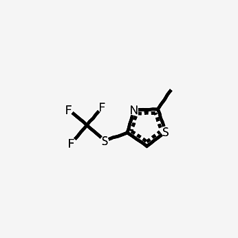 Cc1nc(SC(F)(F)F)cs1